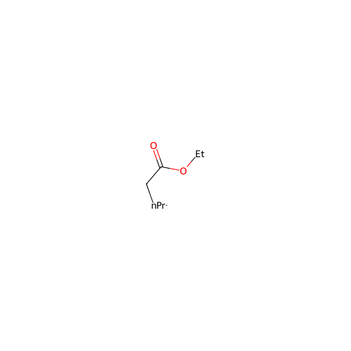 [CH2]C[CH]CC(=O)OCC